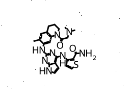 Cc1cc2c(cc1Nc1nc(Nc3ccsc3C(N)=O)c3cc[nH]c3n1)N(C(=O)CN(C)C)CCC2